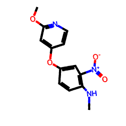 CNc1ccc(Oc2ccnc(OC)c2)cc1[N+](=O)[O-]